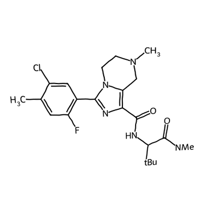 CNC(=O)C(NC(=O)c1nc(-c2cc(Cl)c(C)cc2F)n2c1CN(C)CC2)C(C)(C)C